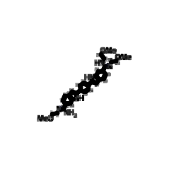 COCC/N=C(\N)c1ccc2cc(-c3ccc(-c4cc5ccc(/C(=N/CCOC)NCCOC)cc5[nH]4)cc3)[nH]c2c1